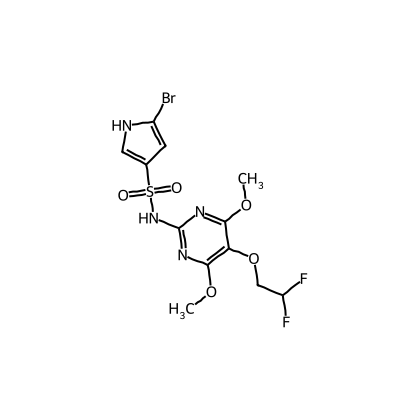 COc1nc(NS(=O)(=O)c2c[nH]c(Br)c2)nc(OC)c1OCC(F)F